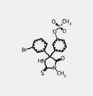 CN1C(=O)C(c2cccc(Br)c2)(c2cccc(OS(C)(=O)=O)c2)NC1=S